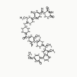 CNc1ccn(-c2ccnc3c2cc([C@H](C)N2CC=C(c4c(C)cc(C(=O)N5CCC(CN6CCN(c7ncc(NC8CCC(=O)NC8=O)cc7F)C[C@H]6C)CC5)cc4F)CC2)n3C)c(=O)c1